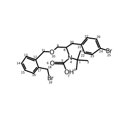 CC(C)(C)N(C(=O)O)C(COCc1ccccc1CBr)Cc1ccc(Br)cc1